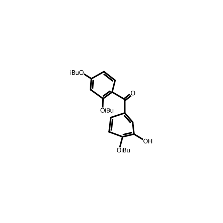 CC(C)COc1ccc(C(=O)c2ccc(OCC(C)C)c(O)c2)c(OCC(C)C)c1